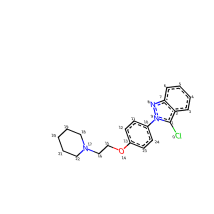 Clc1c2ccccc2nn1-c1ccc(OCCN2CCCCC2)cc1